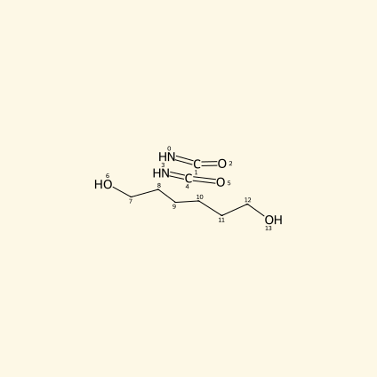 N=C=O.N=C=O.OCCCCCCO